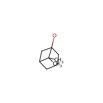 CC1(C)C2CCCC1([O])C2